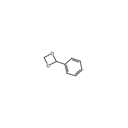 [c]1ccc(C2OCO2)cc1